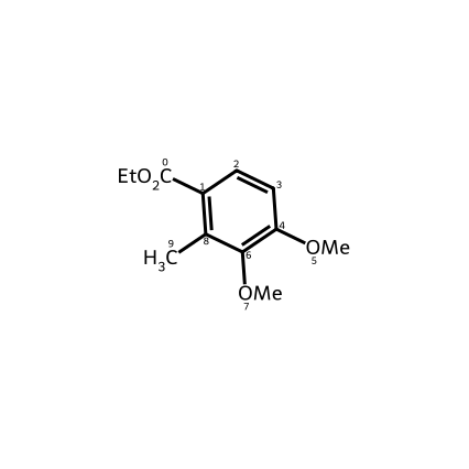 CCOC(=O)c1ccc(OC)c(OC)c1C